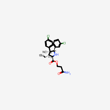 CC(C)(C)C[C@H]1[C@H](C(=O)OCCC(N)=O)N[C@H](c2cccc(Cl)c2)[C@]1(C#N)c1ccc(Cl)cc1